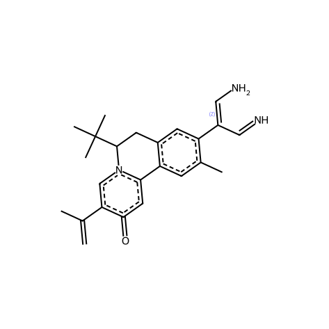 C=C(C)c1cn2c(cc1=O)-c1cc(C)c(/C(C=N)=C/N)cc1CC2C(C)(C)C